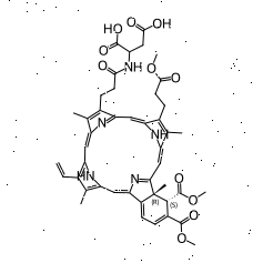 C=Cc1c(C)c2cc3nc(cc4[nH]c(cc5nc(cc1[nH]2)C(C)=C5CCC(=O)NC(CC(=O)O)C(=O)O)c(CCC(=O)OC)c4C)[C@@]1(C)C3=CC=C(C(=O)OC)[C@H]1C(=O)OC